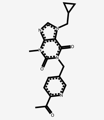 CC(=O)c1ccc(Cn2c(=O)c3c(ncn3CC3CC3)n(C)c2=O)cn1